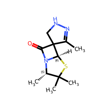 CC1=NNCC12C(=O)N1[C@@H](C)C(C)(C)S[C@@H]12